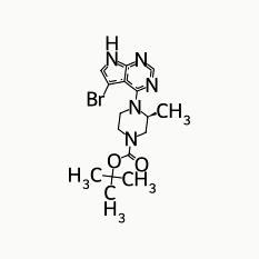 C[C@H]1CN(C(=O)OC(C)(C)C)CCN1c1ncnc2[nH]cc(Br)c12